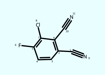 N#Cc1ccc(F)c(Cl)c1C#N